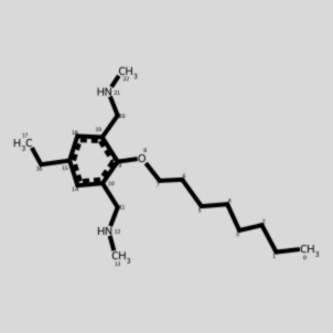 CCCCCCCCOc1c(CNC)cc(CC)cc1CNC